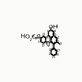 Cc1cc2cc(O)ccc2c(Oc2ccc(OCC(=O)O)cc2)c1-c1ccccc1